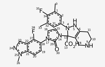 Cc1cc(N2NC3=C(CNCC3)C2(C(=O)O)n2ccn(-c3ccc4c(cnn4C)c3F)c2=O)cc(C)c1F